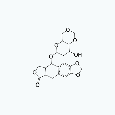 O=C1OCC2C1Cc1cc3c(cc1C2OC1CC(O)C2OCOCC2O1)OCO3